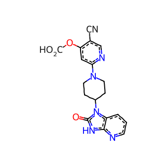 N#Cc1cnc(N2CCC(n3c(=O)[nH]c4ncccc43)CC2)cc1OC(=O)O